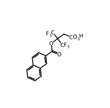 O=C(O)CC(OC(=O)c1ccc2ccccc2c1)(C(F)(F)F)C(F)(F)F